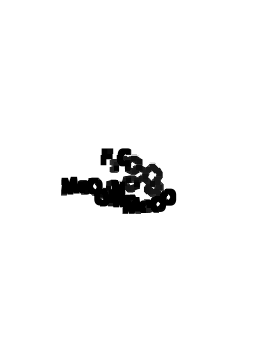 COC(=O)c1ccc2c(c1)CCCC(c1ccc(C(F)(F)F)cc1)=C2c1ccc(N2CCC(C(OC)OC)CC2)cc1